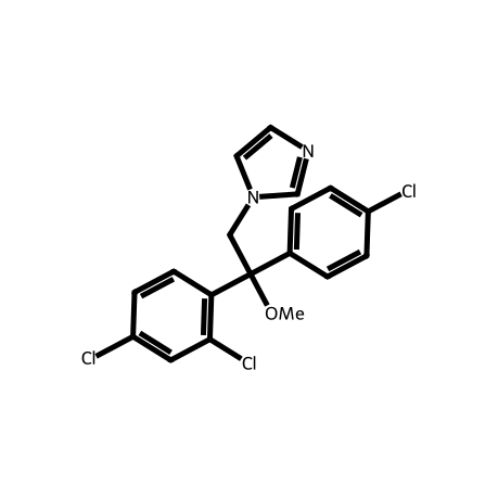 COC(Cn1ccnc1)(c1ccc(Cl)cc1)c1ccc(Cl)cc1Cl